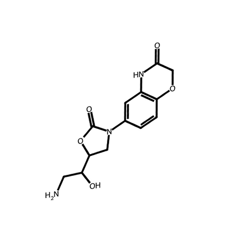 NCC(O)C1CN(c2ccc3c(c2)NC(=O)CO3)C(=O)O1